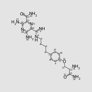 N=C(NCCCCc1ccc(OC[C@H](N)C(N)=O)cc1)c1nc(C(N)=O)c(N)nc1N